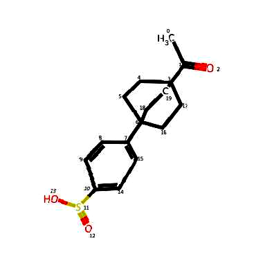 CC(=O)C12CCC(c3ccc(S(=O)O)cc3)(CC1)CC2